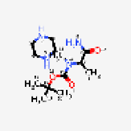 C1CNCCN1.CC(C(N)=O)N(C)C(=O)OC(C)(C)C